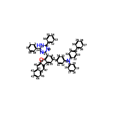 c1ccc(C2=NC(c3cc(-c4ccc(N(c5ccccc5)c5ccc(-c6ccccc6)cc5)cc4)cc4c3oc3cc5ccccc5cc34)=NC(c3ccccc3)N2)cc1